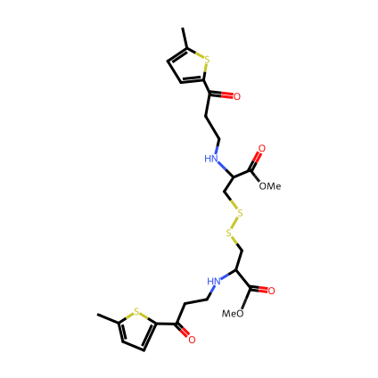 COC(=O)C(CSSCC(NCCC(=O)c1ccc(C)s1)C(=O)OC)NCCC(=O)c1ccc(C)s1